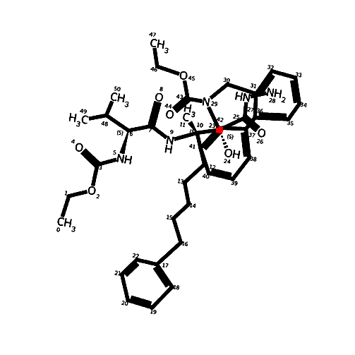 CCOC(=O)N[C@H](C(=O)N[C@@](C)(CCCCCc1ccccc1)[C@](O)(C(=O)NN)N(Cc1ccccc1-c1ccccc1)C(=O)OCC)C(C)C